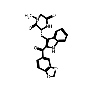 CN1CC(=O)N[C@H](Cc2c(C(=O)c3ccc4c(c3)OCO4)[nH]c3ccccc23)C1=O